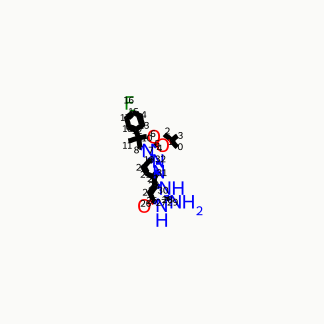 CC(C)(C)OC(=O)N(CC(C)(C)c1ccc(F)cc1)c1ccc(C2=CC(=O)NC(N)N2)nn1